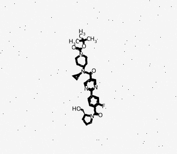 CC(C)(C)OC(=O)N1CCC(N(C(=O)c2cnc(-c3ccc(C(=O)N4CCC[C@H]4CO)c(F)c3)nc2)C2CC2)CC1